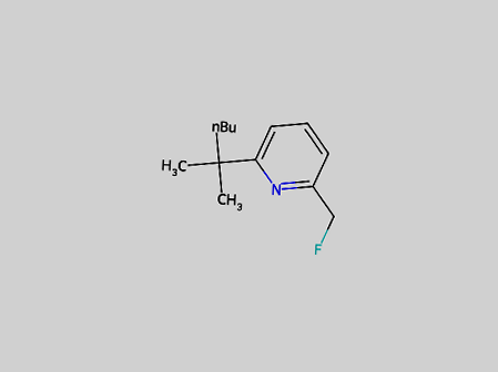 CCCCC(C)(C)c1cccc(CF)n1